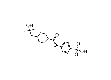 CC(C)(O)CC1CCC(C(=O)Oc2ccc(S(=O)(=O)O)cc2)CC1